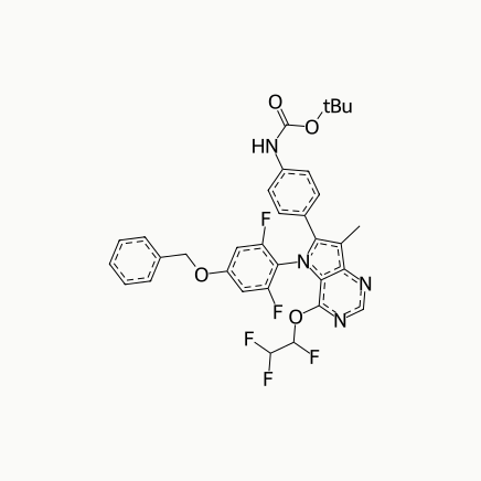 Cc1c(-c2ccc(NC(=O)OC(C)(C)C)cc2)n(-c2c(F)cc(OCc3ccccc3)cc2F)c2c(OC(F)C(F)F)ncnc12